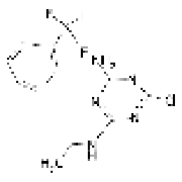 CCNc1nc(N)nc(Cl)n1.FC(F)(F)c1ccccc1